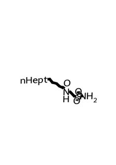 CCCCCCCCCCCC(=O)NCCS(N)(=O)=O